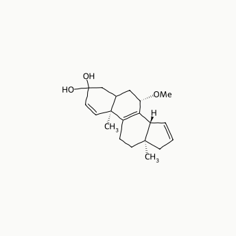 CO[C@H]1CC2CC(O)(O)C=C[C@]2(C)C2=C1[C@@H]1C=CC[C@@]1(C)CC2